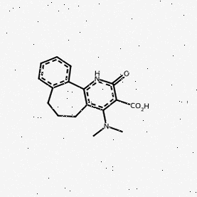 CN(C)c1c2c([nH]c(=O)c1C(=O)O)-c1ccccc1CCC2